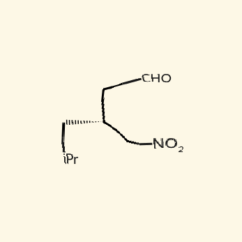 CC(C)C[C@H](CC=O)C[N+](=O)[O-]